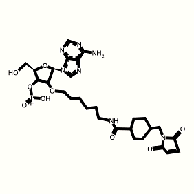 Nc1ncnc2c1ncn2[C@@H]1O[C@H](CO)C(O[PH](=O)O)C1OCCCCCCNC(=O)C1CCC(CN2C(=O)C=CC2=O)CC1